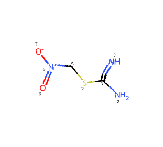 N=C(N)SC[N+](=O)[O-]